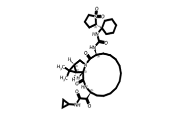 CC1(C)[C@@H]2[C@H]3C(=O)N[C@H](C(=O)C(=O)NC4CC4)CCCCCCCCCC[C@H](NC(=O)NC4([C@@H]5CCCS5(=O)=O)CCCCC4)C(=O)N3C[C@@H]21